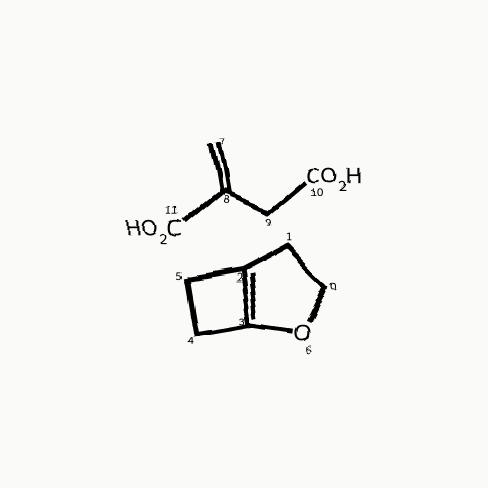 C1CC2=C(CC2)O1.C=C(CC(=O)O)C(=O)O